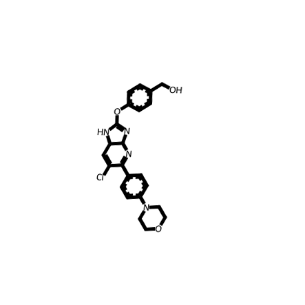 OCc1ccc(OC2=NC3N=C(c4ccc(N5CCOCC5)cc4)C(Cl)=CC3N2)cc1